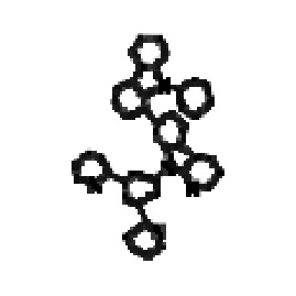 c1ccc(-n2c3ccccc3c3cccc(-c4ccc5c6cccnc6n(-c6cc(-c7ccccn7)cc(-c7ccccn7)c6)c5c4)c32)cc1